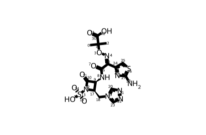 CC(C)(O/N=C(\C(=O)N[C@@H]1C(=O)N(S(=O)(=O)O)[C@@H]1Cn1cnnc1)c1csc(N)n1)C(=O)O